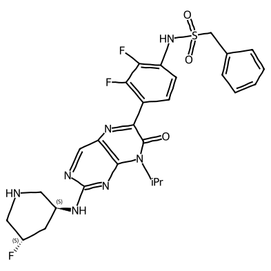 CC(C)n1c(=O)c(-c2ccc(NS(=O)(=O)Cc3ccccc3)c(F)c2F)nc2cnc(N[C@@H]3CNC[C@@H](F)C3)nc21